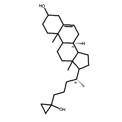 C[C@H](CCCC1(O)CC1)C1CCC2[C@@H]3CC=C4CC(O)CCC4(C)C3CCC21C